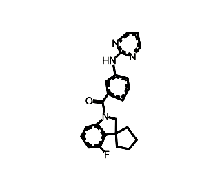 O=C(c1cccc(Nc2ncccn2)c1)N1CC2(CCCC2)c2c(F)cccc21